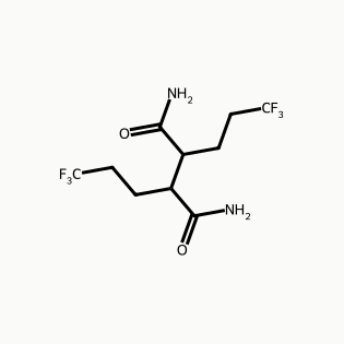 NC(=O)C(CCC(F)(F)F)C(CCC(F)(F)F)C(N)=O